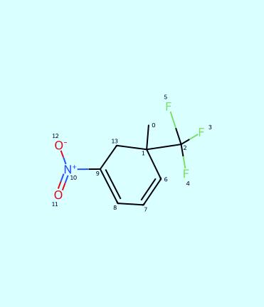 CC1(C(F)(F)F)C=CC=C([N+](=O)[O-])C1